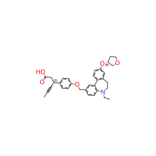 CC#C[C@@H](CC(=O)O)c1ccc(OCc2ccc3c(c2)-c2ccc(O[C@@H]4CCOC4)cc2CCN3CC)cc1